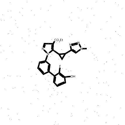 CCOC(=O)c1cnn(-c2cccc(-c3cccc(O)c3F)c2)c1C1CC1c1cn(C)nn1